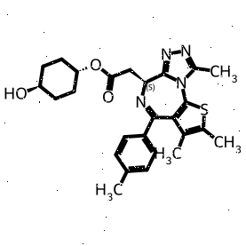 Cc1ccc(C2=N[C@@H](CC(=O)O[C@H]3CC[C@H](O)CC3)c3nnc(C)n3-c3sc(C)c(C)c32)cc1